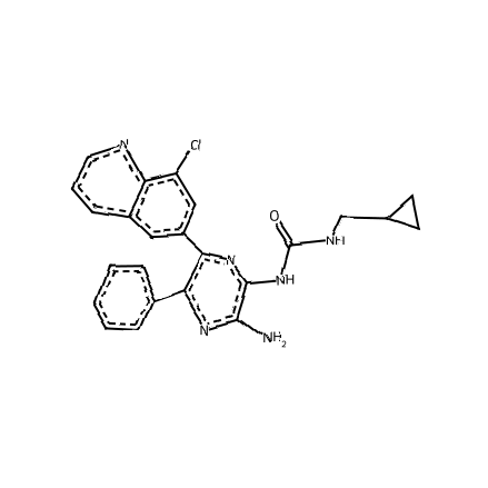 Nc1nc(-c2ccccc2)c(-c2cc(Cl)c3ncccc3c2)nc1NC(=O)NCC1CC1